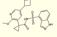 COc1ncc(C2CCC2)cc1C1(C(=O)NS(=O)(=O)c2cccc3[nH]ncc23)CC1